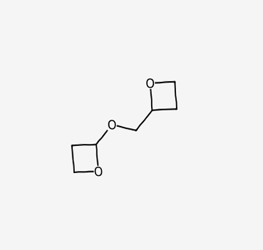 C1CC(COC2CCO2)O1